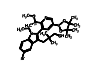 CCn1c(-c2cc(B3OC(C)(C)C(C)(C)O3)cnc2[C@H](C)OC)c(CC(C)(C)CO)c2cc(Br)ccc21